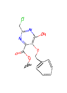 CC(C)(C)OC(=O)c1nc(CCl)nc(O)c1OCc1ccccc1